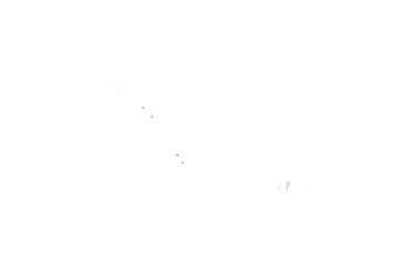 CC(C)n1cnc(CCC=O)c1